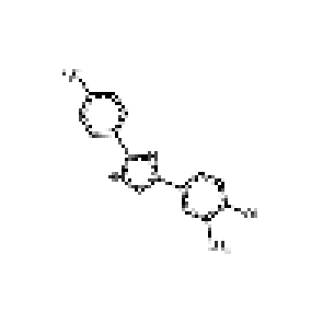 Cc1cc(-c2c[nH]c(-c3ccc(C(F)(F)F)cc3)n2)ccc1O